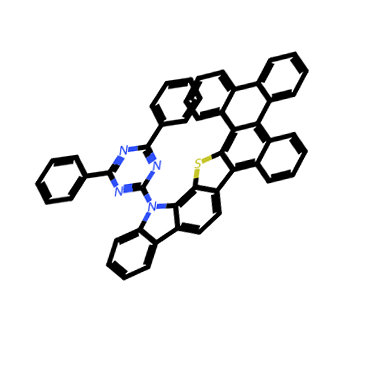 c1ccc(-c2nc(-c3ccccc3)nc(-n3c4ccccc4c4ccc5c(sc6c5c5ccccc5c5c7ccccc7c7ccccc7c65)c43)n2)cc1